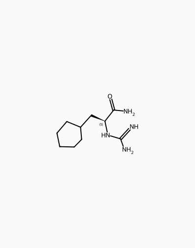 N=C(N)N[C@@H](CC1CCCCC1)C(N)=O